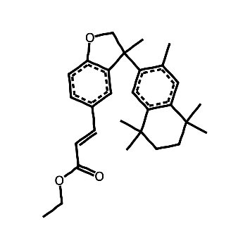 CCOC(=O)C=Cc1ccc2c(c1)C(C)(c1cc3c(cc1C)C(C)(C)CCC3(C)C)CO2